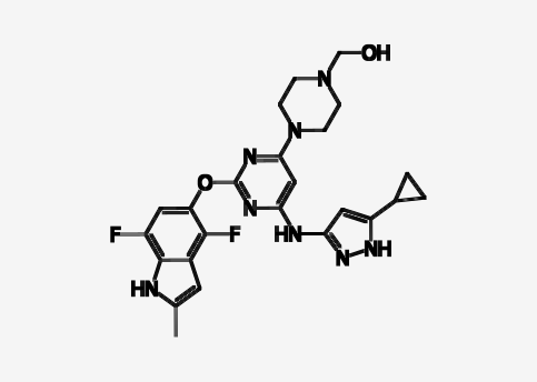 Cc1cc2c(F)c(Oc3nc(Nc4cc(C5CC5)[nH]n4)cc(N4CCN(CO)CC4)n3)cc(F)c2[nH]1